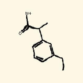 CCc1cccc(C(C)C([NH])=O)c1